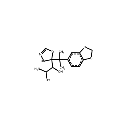 CC(C)C(N)C(O)C1(C(C)(C)c2ccc3c(c2)OCO3)NN=CO1